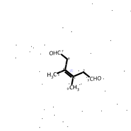 C/C(CC=O)=C(\C)CC=O